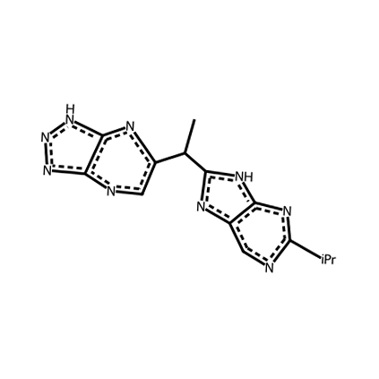 CC(C)c1ncc2nc(C(C)c3cnc4nn[nH]c4n3)[nH]c2n1